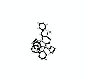 CC1=CC=C(C(C2=CC=CC2)(c2ccccc2)c2ccccc2)C(C2C=Cc3ccccc32)C1=Cc1ccccc1